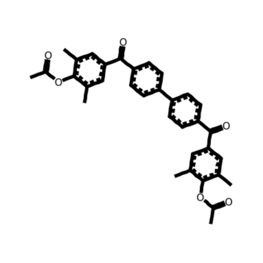 CC(=O)Oc1c(C)cc(C(=O)c2ccc(-c3ccc(C(=O)c4cc(C)c(OC(C)=O)c(C)c4)cc3)cc2)cc1C